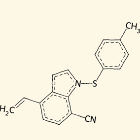 C=Cc1ccc(C#N)c2c1ccn2Sc1ccc(C)cc1